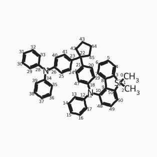 C[Si]1(C)c2ccccc2-c2c(N(c3ccccc3)c3ccc(C4(c5ccc(N(c6ccccc6)c6ccccc6)cc5)CCCC4)cc3)cccc21